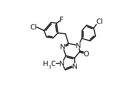 Cn1cnc2c(=O)n(-c3ccc(Cl)cc3)c(Cc3ccc(Cl)cc3F)nc21